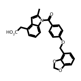 Cc1cc2c(CC(=O)O)cccc2n1C(=O)c1ccc(OCc2cccc3c2OCO3)cc1